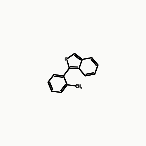 Cc1ccccc1C1=c2ccccc2=C[P]1